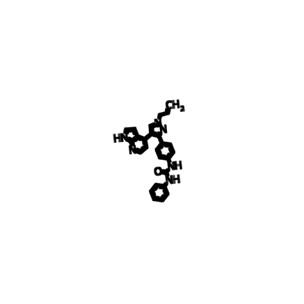 C=CCn1cc(-c2ccnc3[nH]ccc23)c(-c2ccc(NC(=O)Nc3ccccc3)cc2)n1